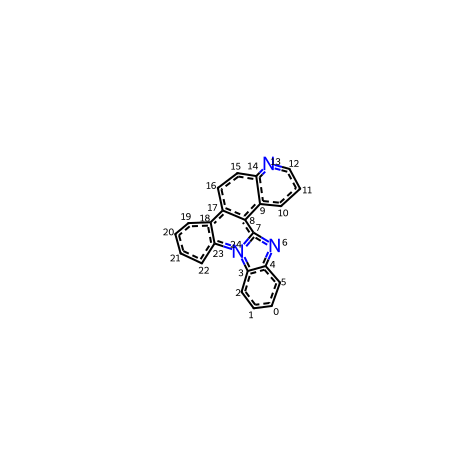 c1ccc2c(c1)nc1c3c4cccnc4ccc3c3ccccc3n21